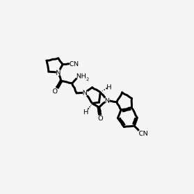 N#Cc1ccc2c(c1)CCC2N1C(=O)[C@@H]2C[C@H]1CN2CC(N)C(=O)N1CCCC1C#N